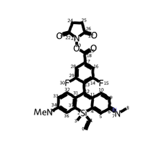 C=C[Si]1(C)C2=C/C(=N/C)C=CC2=C(c2c(F)cc(C(=O)ON3C(=O)CCC3=O)cc2F)c2ccc(NC)cc21